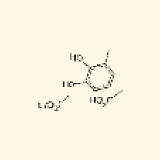 CC(=O)O.CC(=O)O.Cc1cccc(O)c1O